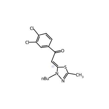 CCCCN1N=C(C)S/C1=C\C(=O)c1ccc(Cl)c(Cl)c1